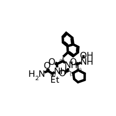 CC[C@H](NC(=O)[C@H](Cc1cccc2ccccc12)NC(=O)[C@H]1CCCC[C@@H]1C(=O)NO)C(N)=O